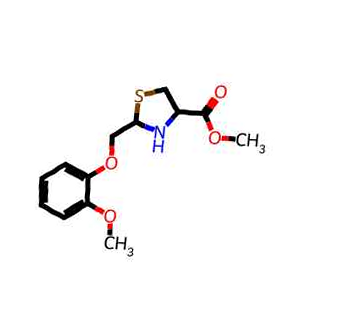 COC(=O)C1CSC(COc2ccccc2OC)N1